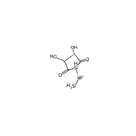 O=C1C(O)C(O)C(=O)[SiH]1N[SiH3]